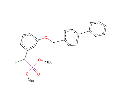 CC(C)(C)OP(=O)(OC(C)(C)C)C(F)c1cccc(OCc2ccc(-c3ccccc3)cc2)c1